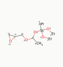 CCC[Si](OCC)(OCC)OC(C)OCC1CO1